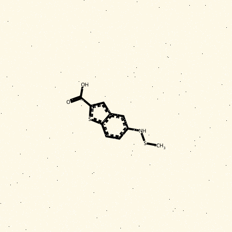 CSNc1ccc2sc(C(=O)O)cc2c1